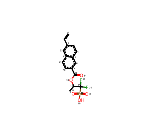 C=Cc1ccc2cc(C(=O)OC(C)C(F)(F)S(=O)(=O)O)ccc2c1